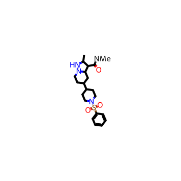 CNC(=O)C1C(C)NN2CCC(C3CCN(S(=O)(=O)c4ccccc4)CC3)CC12